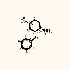 CC[C@@H]1CC[C@@H](N)[C@H](Cc2ccccc2)C1